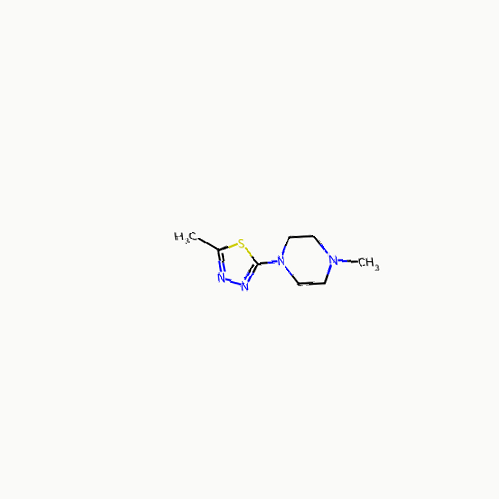 Cc1nnc(N2CCN(C)CC2)s1